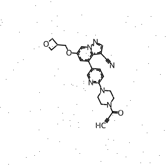 C#CC(=O)N1CCN(c2ccc(-c3cc(OCC4COC4)cn4ncc(C#N)c34)cn2)CC1